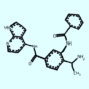 CC(N)c1ccc(C(=O)Nc2ccnc3[nH]ccc23)cc1NC(=O)c1ccccc1